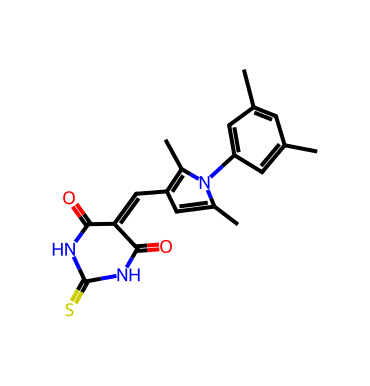 Cc1cc(C)cc(-n2c(C)cc(C=C3C(=O)NC(=S)NC3=O)c2C)c1